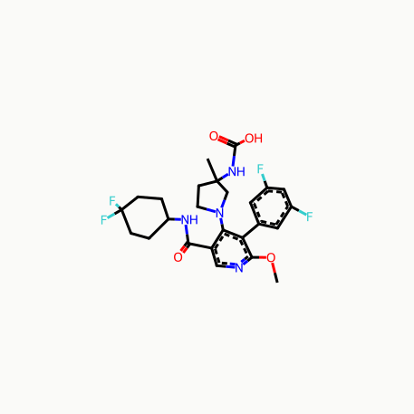 COc1ncc(C(=O)NC2CCC(F)(F)CC2)c(N2CCC(C)(NC(=O)O)C2)c1-c1cc(F)cc(F)c1